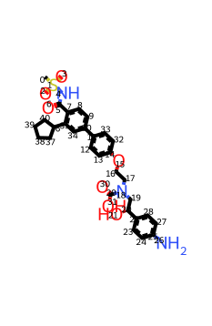 CS(=O)(=O)NC(=O)c1ccc(-c2ccc(OCCN(C[C@H](O)c3ccc(N)cc3)C(=O)O)cc2)cc1C1CCCC1